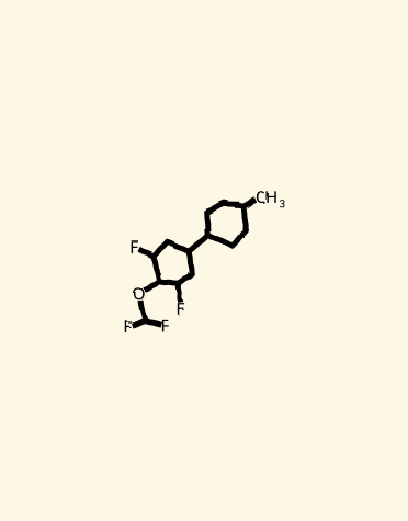 CC1CCC(C2CC(F)C(OC(F)F)C(F)C2)CC1